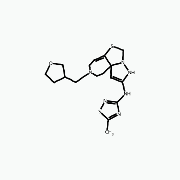 Cc1nc(NC2=CC34CCN(CC5CCOC5)CC=C3SCN4N2)ns1